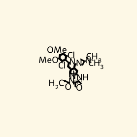 C=CC(=O)N[C@H]1COC[C@H]1Nc1cc2c(N3CC(N(C)C)C3)nc(-c3c(Cl)c(OC)cc(OC)c3Cl)cc2cn1